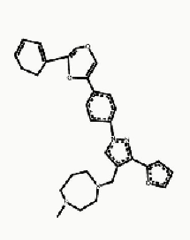 CN1CCCN(Cc2cn(-c3ccc(C4=COC=C(C5=CC=CCC5)O4)cc3)nc2-c2ccco2)CC1